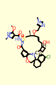 COc1nn(C)cc1C(=O)N[S@@]1(=O)=NC(=O)c2ccc3c(c2)N(C[C@@H]2CC[C@H]2[C@@H](O)/C=C/[C@H](OCc2cn(C)cn2)[C@H](C)C1)C[C@@]1(CCCc2cc(Cl)ccc21)CO3